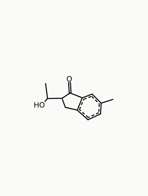 Cc1ccc2c(c1)C(=O)C(C(C)O)C2